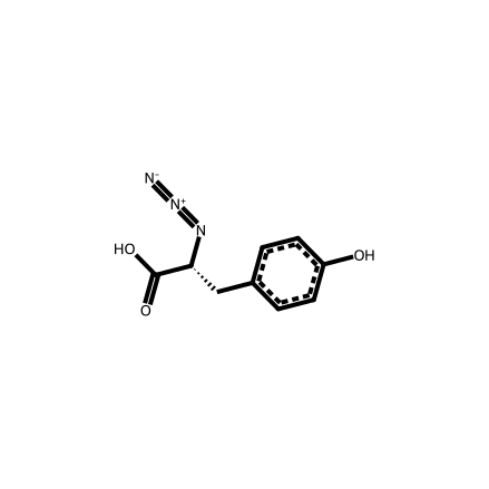 [N-]=[N+]=N[C@H](Cc1ccc(O)cc1)C(=O)O